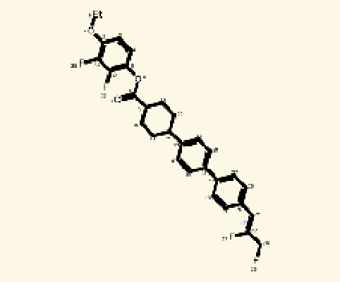 CCOc1ccc(OC(=O)C2CCC(c3ccc(-c4ccc(/C=C(\F)CF)cc4)cc3)CC2)c(F)c1F